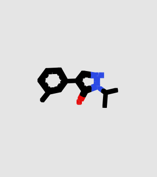 Cc1cccc(-c2c[nH]n(C(C)C)c2=O)c1